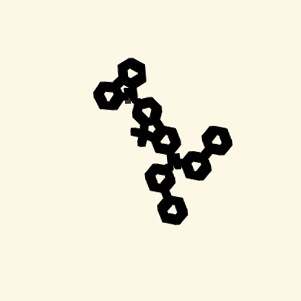 CC1(C)c2cc(N(c3cccc(-c4ccccc4)c3)c3cccc(-c4ccccc4)c3)ccc2-c2ccc(-n3c4ccccc4c4ccccc43)cc21